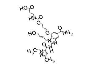 CCn1nc(C)cc1C(=O)Nc1nc2cc(C(N)=O)cc(OCCCOC(=O)NCCC(=O)O)c2n1CC=CCO